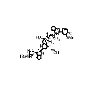 COc1cc(-c2nc3c(c(N(C)CC(=O)NC(C)(C)Cc4nc(-c5nc6c(c(N(C)CC(=O)NC(C)(C)C)n5)CCC6)cc(OCCO)c4C)n2)CCC3)ncc1C